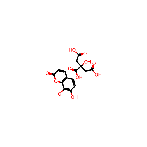 O=C(O)CC(O)(CC(=O)O)C(=O)O.O=c1ccc2ccc(O)c(O)c2o1